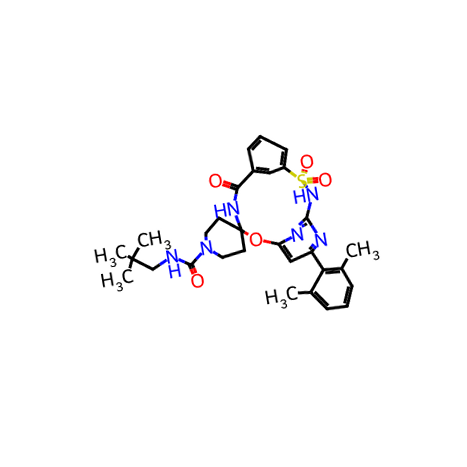 Cc1cccc(C)c1-c1cc2nc(n1)NS(=O)(=O)c1cccc(c1)C(=O)NC1(CCN(C(=O)NCC(C)(C)C)CC1)O2